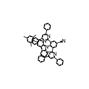 Cc1cc(C)c(-c2ccc3c(c2)c2ccccc2n3-c2c(-c3nc(-c4ccccc4)cc(-c4ccccc4)n3)cc(C#N)cc2-c2nc(-c3ccccc3)cc(-c3ccccc3)n2)c(C)c1